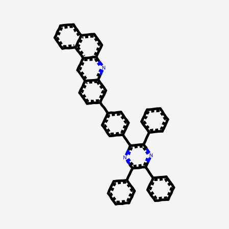 c1ccc(-c2nc(-c3ccccc3)c(-c3ccc(-c4ccc5cc6c(ccc7ccccc76)nc5c4)cc3)nc2-c2ccccc2)cc1